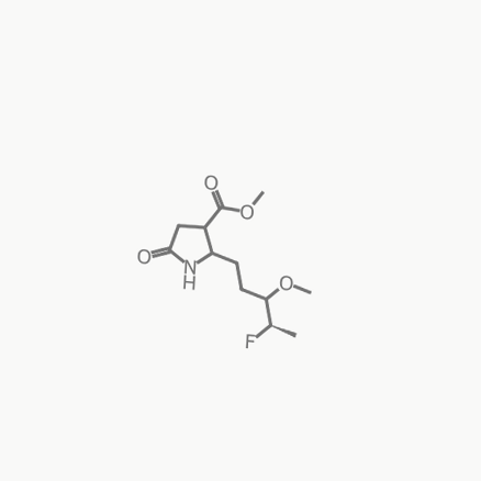 COC(=O)C1CC(=O)NC1CCC(OC)[C@@H](C)F